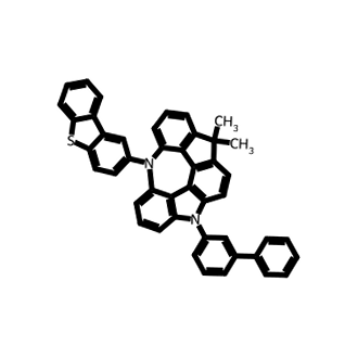 CC1(C)c2ccc3c4c2c2c1cccc2n(-c1ccc2sc5ccccc5c2c1)c1cccc(c41)n3-c1cccc(-c2ccccc2)c1